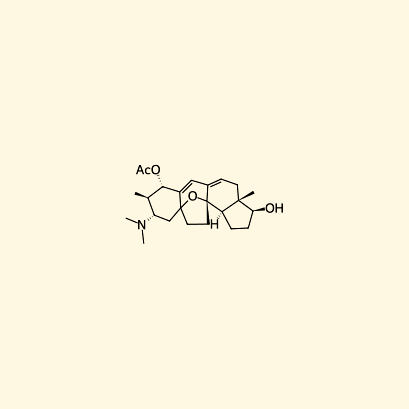 CC(=O)O[C@@H]1C2=CC3=CC[C@@]4(C)[C@@H](CC[C@@H]4O)[C@@]34CCC2(C[C@H](N(C)C)[C@H]1C)O4